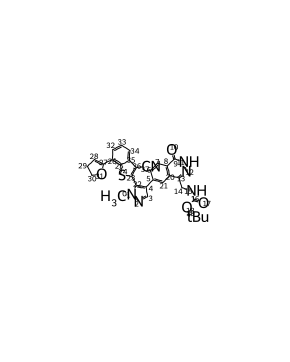 Cn1ncc(-c2ccc3c(=O)[nH]nc(CNC(=O)OC(C)(C)C)c3c2)c1-c1sc2c(C3=CCCO3)cccc2c1C#N